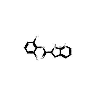 O=C(Nc1c(F)cccc1F)C1Cc2cccnc2N1